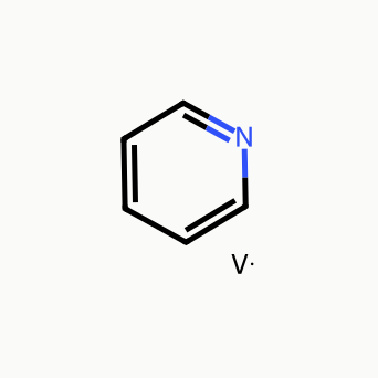 [V].c1ccncc1